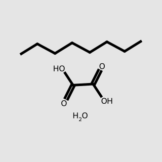 CCCCCCCC.O.O=C(O)C(=O)O